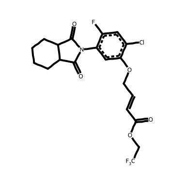 O=C(/C=C/COc1cc(N2C(=O)C3CCCCC3C2=O)c(F)cc1Cl)OCC(F)(F)F